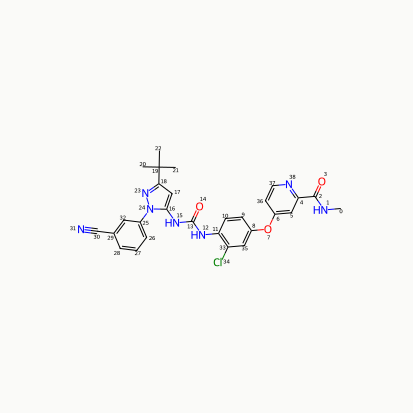 CNC(=O)c1cc(Oc2ccc(NC(=O)Nc3cc(C(C)(C)C)nn3-c3cccc(C#N)c3)c(Cl)c2)ccn1